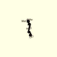 COc1ccc(-c2cnc(OCC(=O)NCCC3CC(Cc4ccc(Cl)c(Cl)c4)CN3C)nc2)cc1OC